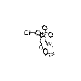 N#Cc1ccc(OCCc2c(CCN)n(C(c3ccccc3)c3ccccc3)c3ccc(Cl)cc23)cc1